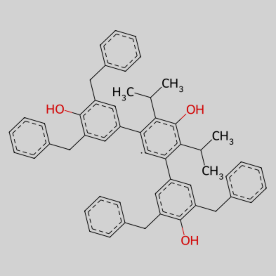 CC(C)c1c(-c2cc(Cc3ccccc3)c(O)c(Cc3ccccc3)c2)[c]c(-c2cc(Cc3ccccc3)c(O)c(Cc3ccccc3)c2)c(C(C)C)c1O